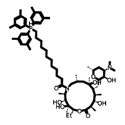 CC[C@H]1OC(=O)[C@H](C)[C@@H](O)[C@H](C)[C@@H](C[C@@H]2O[C@H](C)C[C@H](N(C)C)[C@H]2O)[C@](C)(O)C[C@@H](C)CN(C(=O)CCCCCCCCCCC[PH](c2cc(C)cc(C)c2)(c2cc(C)cc(C)c2)c2cc(C)cc(C)c2)[C@H](C)[C@@H](O)[C@]1(C)O